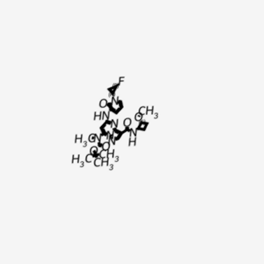 CO[C@H]1CCC1NC(=O)c1cnn2c(N(C)C(=O)OC(C)(C)C)cc(Nc3cccn([C@@H]4C[C@H]4F)c3=O)nc12